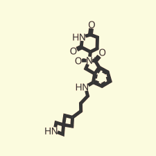 O=C1CCC([N+]2([O-])Cc3c(NCCCC4CC5(CNC5)C4)cccc3C2=O)C(=O)N1